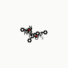 NC(=O)C(CCc1ccccc1)N(Cc1ccc(OCc2ccccc2)cc1)C(=O)C(Cc1cnc[nH]1)NC(=O)OCc1ccccc1